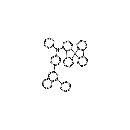 c1ccc(-c2cc(-c3ccc(N(c4ccccc4)c4cccc5c4-c4ccccc4C54c5ccccc5-c5ccccc54)cc3)cc3ccccc23)cc1